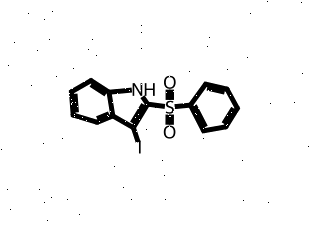 O=S(=O)(c1ccccc1)c1[nH]c2ccccc2c1I